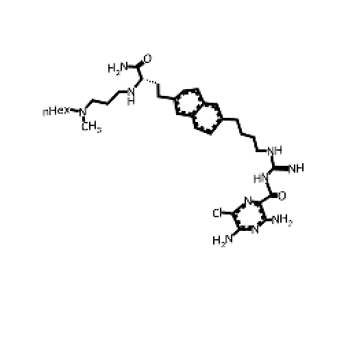 CCCCCCN(C)CCCN[C@@H](CCc1ccc2cc(CCCCNC(=N)NC(=O)c3nc(Cl)c(N)nc3N)ccc2c1)C(N)=O